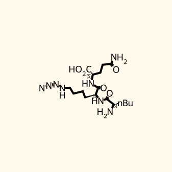 CCCC[C@H](N)C(=O)N[C@@H](CCCCNN=[N+]=[N-])C(=O)N[C@@H](CCC(N)=O)C(=O)O